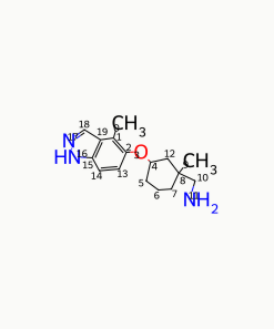 Cc1c(OC2CCCC(C)(CN)C2)ccc2[nH]ncc12